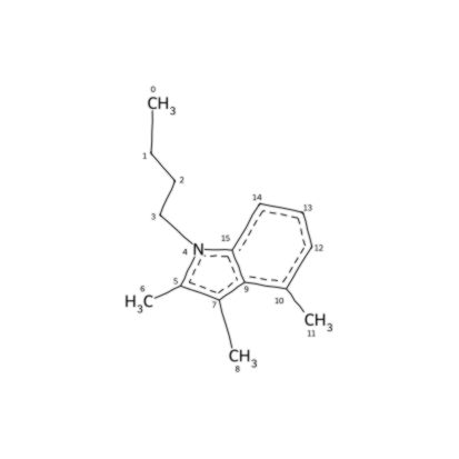 CCCCn1c(C)c(C)c2c(C)cccc21